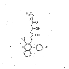 CCOC(=O)C[C@@H](O)C[C@H](O)/C=C/c1c(C2CC2)nc2ccccc2c1-c1ccc(F)cc1